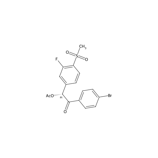 CC(=O)O[C@@H](C(=O)c1ccc(Br)cc1)c1ccc(S(C)(=O)=O)c(F)c1